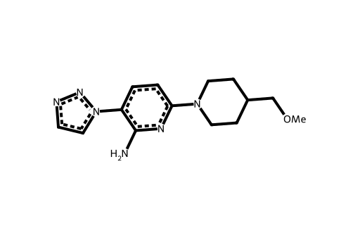 COCC1CCN(c2ccc(-n3ccnn3)c(N)n2)CC1